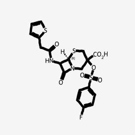 O=C(Cc1cccs1)NC1C(=O)N2CC(OS(=O)(=O)c3ccc(F)cc3)(C(=O)O)CS[C@H]12